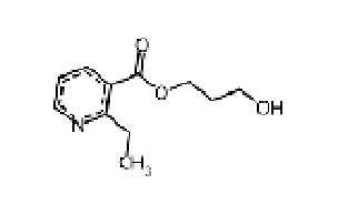 CCc1ncccc1C(=O)OCCCO